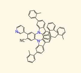 Cc1ccccc1Cc1ccc2c(c1)c1ccc(-c3ccccc3C)cc1n2-c1cc(-c2cccnc2)c(C#N)cc1-n1c2cc(-c3ccccc3C)ccc2c2ccc(-c3ccccc3C)cc21